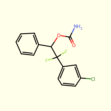 NC(=O)OC(c1ccccc1)C(F)(F)c1cccc(Cl)c1